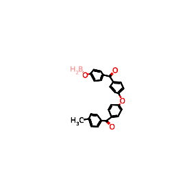 BOc1ccc(C(=O)c2ccc(Oc3ccc(C(=O)c4ccc(C)cc4)cc3)cc2)cc1